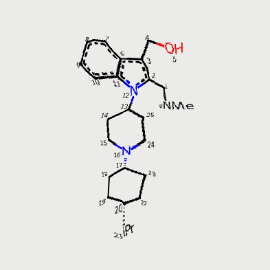 CNCc1c(CO)c2ccccc2n1C1CCN([C@H]2CC[C@@H](C(C)C)CC2)CC1